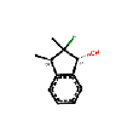 C[C@@H]1c2ccccc2[C@@H](O)C1(C)F